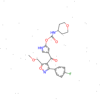 COCc1onc(-c2ccc(F)cc2)c1C(=O)c1c[nH]c(OC(=O)NC2CCOCC2)c1